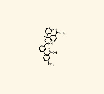 CC1(c2ccccc2)CC(c2cccc(-c3ccc(N)cc3C(=O)O)c2)Nc2ccc(C(=N)N)cc21